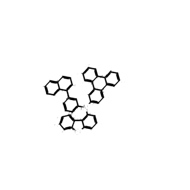 c1cc(-c2cccc3ccccc23)cc(N(c2ccc3c4ccccc4c4ccccc4c3c2)c2cccc3oc4ccccc4c23)c1